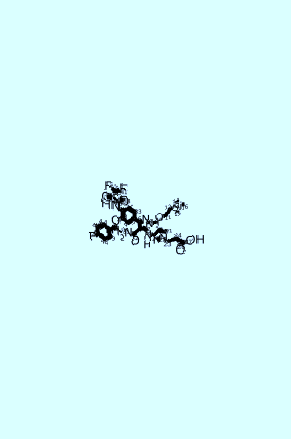 C[C@H](Oc1cc(-c2nn(COCC[Si](C)(C)C)c(Nc3ccn(CCC(=O)O)n3)c2C(N)=O)ccc1NS(=O)(=O)C(F)F)c1ccc(F)cc1